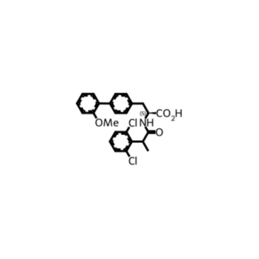 COc1ccccc1-c1ccc(C[C@H](NC(=O)C(C)c2c(Cl)cccc2Cl)C(=O)O)cc1